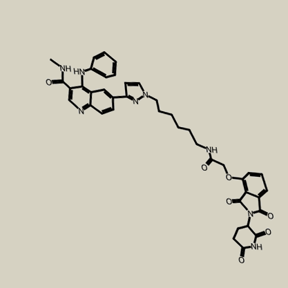 CNC(=O)c1cnc2ccc(-c3ccn(CCCCCCNC(=O)COc4cccc5c4C(=O)N(C4CCC(=O)NC4=O)C5=O)n3)cc2c1Nc1ccccc1